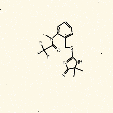 CN(C(=O)C(F)(F)F)c1ccccc1CSC1=NC(=S)C(C)(C)N1